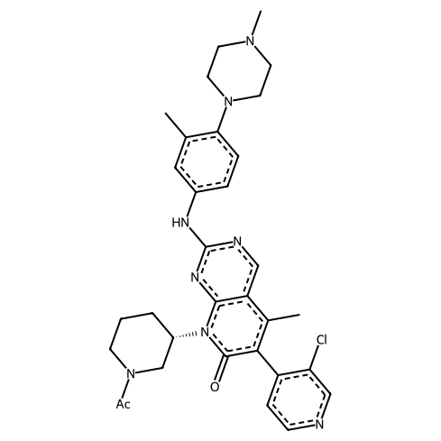 CC(=O)N1CCC[C@H](n2c(=O)c(-c3ccncc3Cl)c(C)c3cnc(Nc4ccc(N5CCN(C)CC5)c(C)c4)nc32)C1